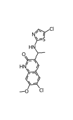 COc1cc2[nH]c(=O)c(C(C)Nc3ncc(Cl)s3)cc2cc1Cl